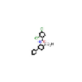 O=C(Nc1cc(-c2ccccc2)ccc1C(=O)O)c1ccc(Cl)cc1Cl